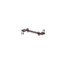 CNc1ccc(/C=C/C(=O)OCCCCCCCCCCCCCCOC(=O)/C=C/c2ccc(NC)cc2)cc1